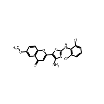 COc1ccc2oc(-c3sc(Nc4c(Cl)cccc4Cl)nc3N)cc(=O)c2c1